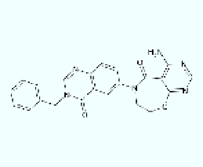 Nc1ncnc2c1C(=O)N(c1ccc3ncn(Cc4ccccc4)c(=O)c3c1)CCO2